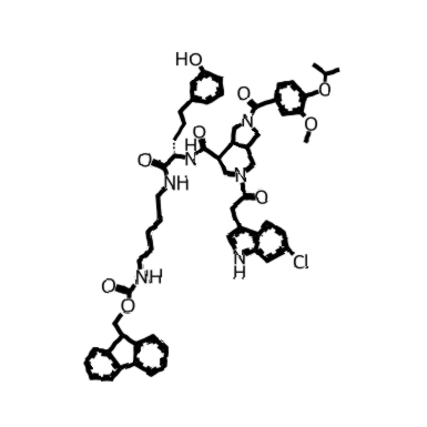 COc1cc(C(=O)N2CC3CN(C(=O)Cc4c[nH]c5cc(Cl)ccc45)CC(C(=O)N[C@@H](CCCc4cccc(O)c4)C(=O)NCCCCCNC(=O)OCC4c5ccccc5-c5ccccc54)C3C2)ccc1OC(C)C